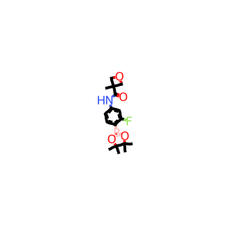 CC1(C(=O)Nc2ccc(B3OC(C)(C)C(C)(C)O3)c(F)c2)COC1